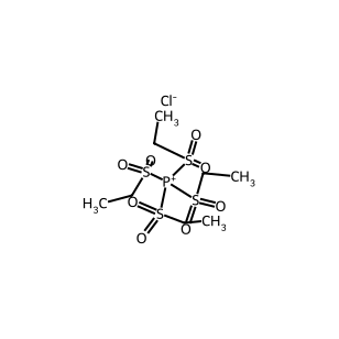 CCS(=O)(=O)[P+](S(=O)(=O)CC)(S(=O)(=O)CC)S(=O)(=O)CC.[Cl-]